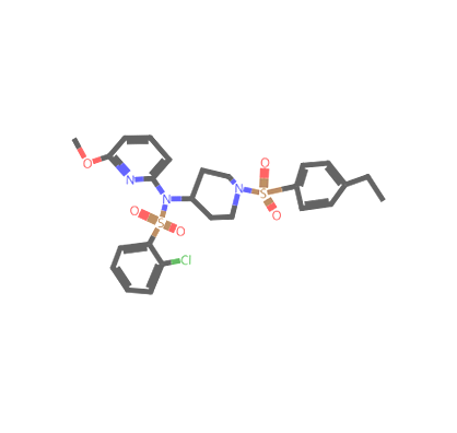 CCc1ccc(S(=O)(=O)N2CCC(N(c3cccc(OC)n3)S(=O)(=O)c3ccccc3Cl)CC2)cc1